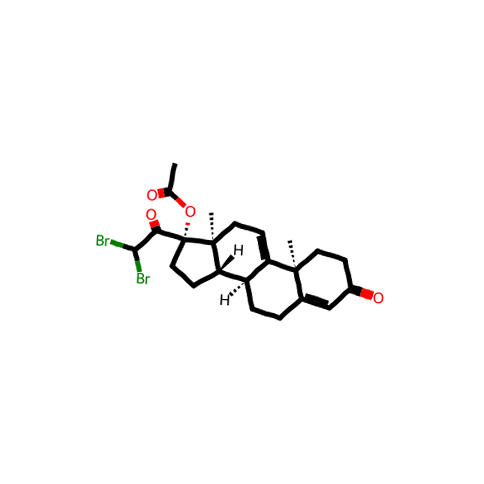 CC(=O)O[C@@]1(C(=O)C(Br)Br)CC[C@H]2[C@@H]3CCC4=CC(=O)CC[C@]4(C)C3=CC[C@@]21C